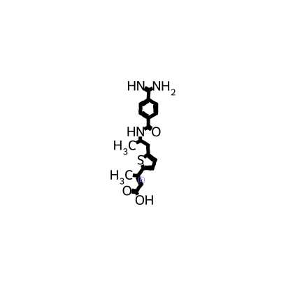 C/C(=C\C(=O)O)c1ccc(CC(C)NC(=O)c2ccc(C(=N)N)cc2)s1